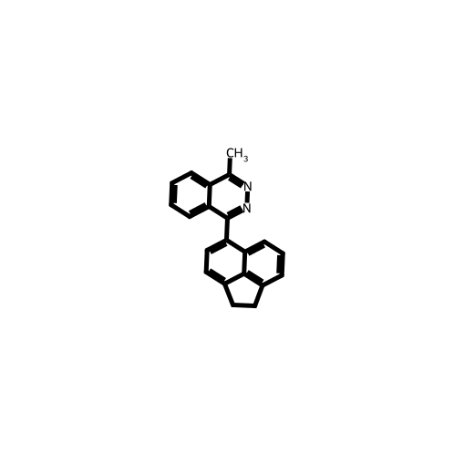 Cc1nnc(-c2ccc3c4c(cccc24)CC3)c2ccccc12